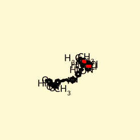 Cn1c(=O)n(C2CCC(=O)NC2=O)c2ccc(C#CCCN3CCN(C[C@H]4CC[C@H](NC(=O)[C@@H]5NC6(CCC(C)(C)CC6)[C@@]6(C(=O)Nc7cc(Cl)ccc76)[C@H]5c5ccnc(Cl)c5F)CC4)CC3)cc21